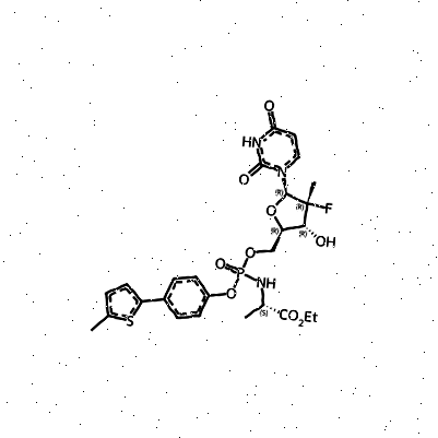 CCOC(=O)[C@H](C)NP(=O)(OC[C@H]1O[C@@H](n2ccc(=O)[nH]c2=O)[C@](C)(F)[C@@H]1O)Oc1ccc(-c2ccc(C)s2)cc1